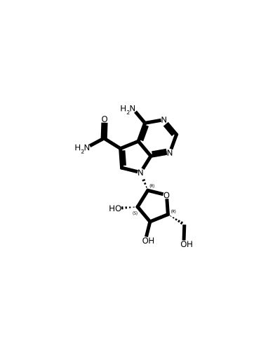 NC(=O)c1cn([C@@H]2O[C@H](CO)C(O)[C@@H]2O)c2ncnc(N)c12